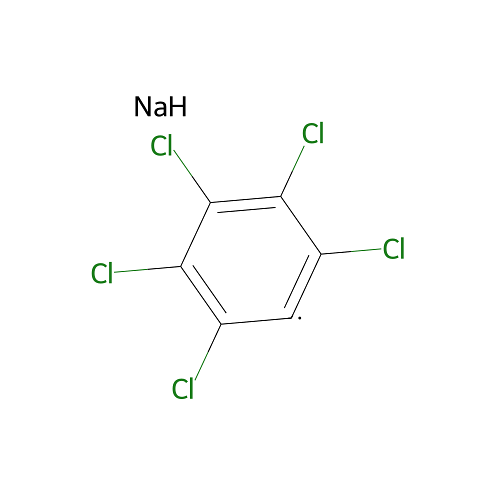 Clc1[c]c(Cl)c(Cl)c(Cl)c1Cl.[NaH]